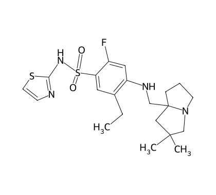 CCc1cc(S(=O)(=O)Nc2nccs2)c(F)cc1NCC12CCCN1CC(C)(C)C2